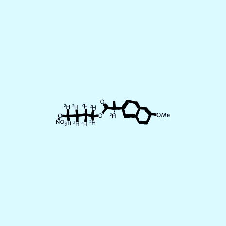 [2H]C([2H])(OC(=O)[C@@]([2H])(C)c1ccc2cc(OC)ccc2c1)C([2H])([2H])C([2H])([2H])C([2H])([2H])O[N+](=O)[O-]